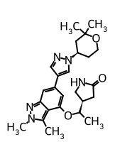 Cc1c2c(OC(C)[C@H]3CNC(=O)C3)cc(-c3cnn([C@@H]4CCOC(C)(C)C4)c3)cc2nn1C